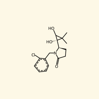 CC1(C)C(O)[C@]1(O)[C@H]1CCC(=O)N1Cc1ccccc1Cl